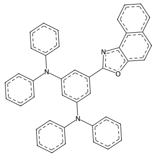 c1ccc(N(c2ccccc2)c2cc(-c3nc4c(ccc5ccccc54)o3)cc(N(c3ccccc3)c3ccccc3)c2)cc1